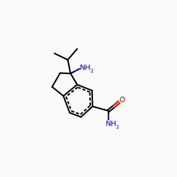 CC(C)C1(N)CCc2ccc(C(N)=O)cc21